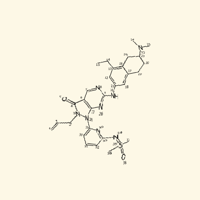 C=CCn1c(=O)c2cnc(Nc3cc(CC)c4c(c3)CCC(N(C)C)C4)nc2n1-c1cccc(N=S(C)(C)=O)n1